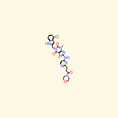 Cn1c(Nc2ccnc(CCC(=O)N3CCOCC3)n2)nc2c1c(=O)n(Cc1cc3c(Cl)cccc3[nH]1)c(=O)n2C